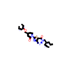 C=C/C=C(\C=C/C)CN(N)C(=O)c1sc(-n2ccc(COC(/C=C\C)=C/C)cc2=O)nc1C